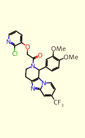 COc1ccc(C2c3c(nc4cc(C(F)(F)F)ccn34)CCN2C(=O)COc2cccnc2Cl)cc1OC